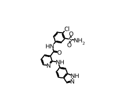 NS(=O)(=O)c1cc(NC(=O)c2cccnc2Nc2ccc3cn[nH]c3c2)ccc1Cl